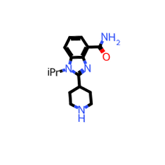 CC(C)n1c(C2CCNCC2)nc2c(C(N)=O)cccc21